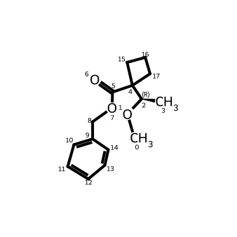 CO[C@H](C)C1(C(=O)OCc2ccccc2)CCC1